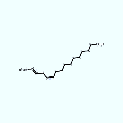 CCCCC/C=C/C/C=C\CCCCCCCCCC(=O)O